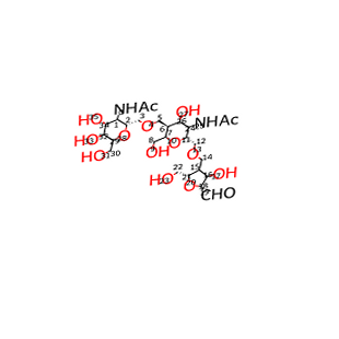 CC(=O)NC1[C@H](COC[C@@H]2C(CO)O[C@@H](COCC3[C@@H](O)[C@@H](C=O)O[C@@H]3CO)C(NC(C)=O)[C@@H]2O)OC(CO)[C@@H](O)[C@H]1O